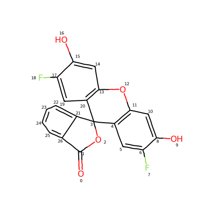 O=C1OC2(c3cc(F)c(O)cc3Oc3cc(O)c(F)cc32)c2ccccc21